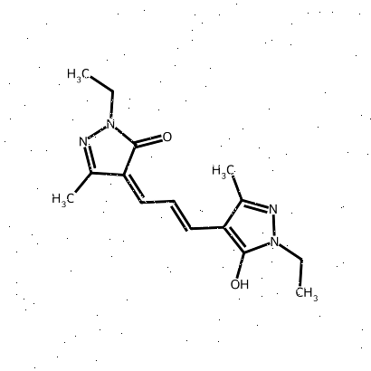 CCN1N=C(C)/C(=C/C=C/c2c(C)nn(CC)c2O)C1=O